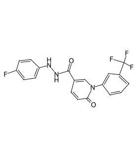 O=C(NNc1ccc(F)cc1)c1ccc(=O)n(-c2cccc(C(F)(F)F)c2)c1